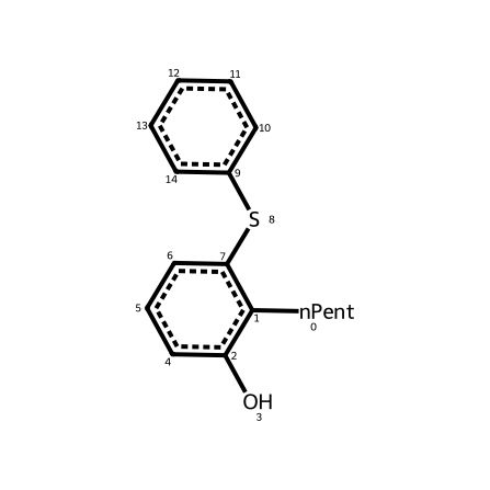 CCCCCc1c(O)cccc1Sc1ccccc1